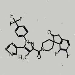 Cc1c(C(=O)N2CCC3(CC2)C(=O)Cc2ccc(F)c(F)c23)nn(-c2ccc(C(F)(F)F)cc2)c1-c1cccnc1